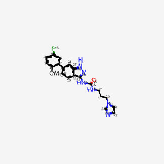 COc1ccc(F)cc1-c1ccc2c(NC(=O)NCCCn3ccnc3)n[nH]c2c1